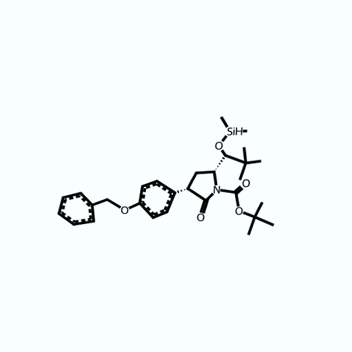 C[SiH](C)OC([C@H]1C[C@@H](c2ccc(OCc3ccccc3)cc2)C(=O)N1C(=O)OC(C)(C)C)C(C)(C)C